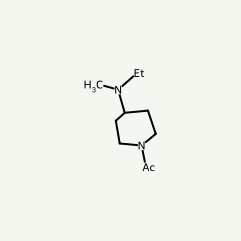 CCN(C)C1CCN(C(C)=O)CC1